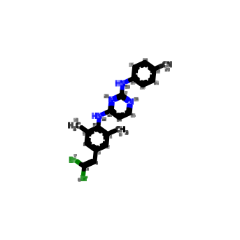 Cc1cc(C=C(Br)Br)cc(C)c1Nc1ccnc(Nc2ccc(C#N)cc2)n1